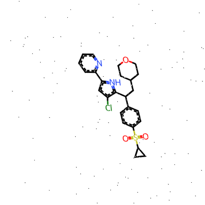 O=S(=O)(c1ccc(C(CC2CCOCC2)c2[nH]c(-c3ccccn3)cc2Cl)cc1)C1CC1